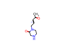 CC(=O)/C=C/CN1CCNCC1=O